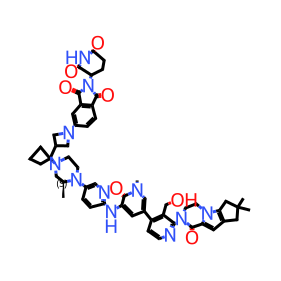 C[C@H]1CN(C2(C3CN(c4ccc5c(c4)C(=O)N(C4CCC(=O)NC4=O)C5=O)C3)CCC2)CCN1c1ccc(Nc2cc(-c3ccnc(N4CCn5c(cc6c5CC(C)(C)C6)C4=O)c3CO)cn(C)c2=O)nc1